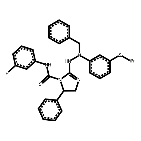 CC(C)Sc1cccc(N(Cc2ccccc2)NC2=NCC(c3ccccc3)N2C(=S)Nc2cccc(F)c2)c1